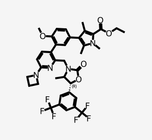 CCOC(=O)c1c(C)c(-c2ccc(OC)c(-c3ccc(N4CCC4)nc3CN3C(=O)O[C@H](c4cc(C(F)(F)F)cc(C(F)(F)F)c4)C3C)c2)c(C)n1C